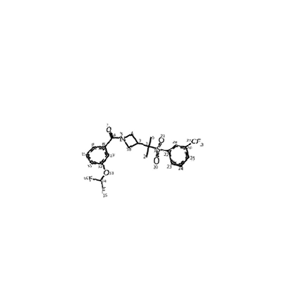 CC(C)(C1CN(C(=O)c2cccc(OC(F)F)c2)C1)S(=O)(=O)c1cccc(C(F)(F)F)c1